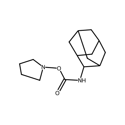 O=C(NC1C2CC3CC(C2)CC1C3)ON1CCCC1